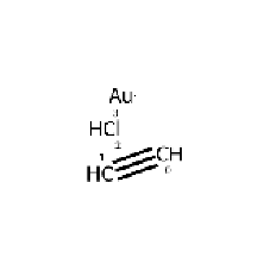 C#C.Cl.[Au]